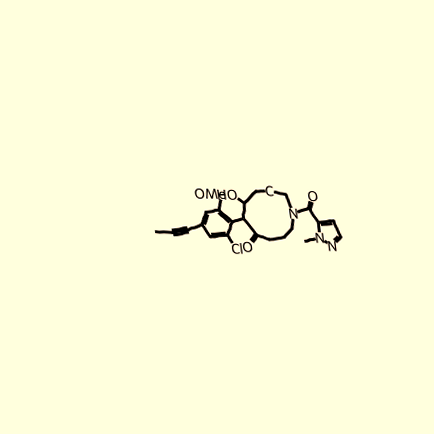 CC#Cc1cc(Cl)c(C2C(=O)CCCN(C(=O)c3ccnn3C)CCCC2O)c(OC)c1